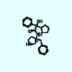 O=C(N[C@@]1(Cc2ccccc2)CCNC1)C(O)(c1ccccc1)C1CCCC1